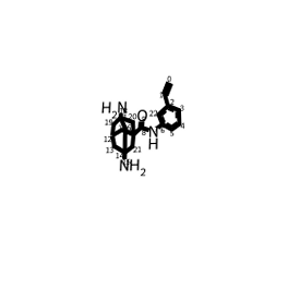 C#Cc1cccc(NC(=O)C23CC4CC(N)(CC(N)(C4)C2)C3)c1